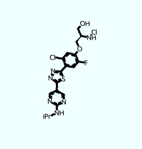 CC(C)Nc1ncc(-c2nnc(-c3cc(F)c(OC[C@@H](CO)NCl)cc3Cl)s2)cn1